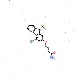 NC(=O)CCCOc1cc(Cl)c2c(c1)[C@@H](C(F)(F)F)c1ccccc1-2